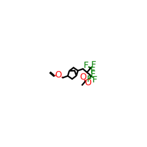 C=COCC1CC2CC1CC2CC(OC(C)=O)(C(F)(F)F)C(F)(F)F